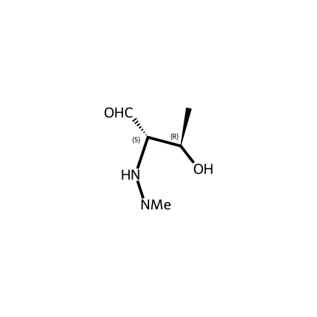 CNN[C@H](C=O)[C@@H](C)O